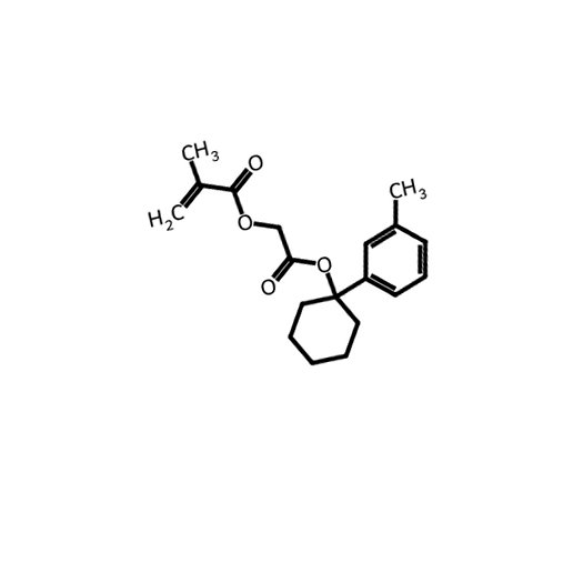 C=C(C)C(=O)OCC(=O)OC1(c2cccc(C)c2)CCCCC1